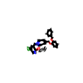 COc1ncc(Cl)cc1CN1CCC(COc2ccccc2OCC2CCCCC2)CC1